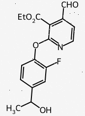 CCOC(=O)c1c(C=O)ccnc1Oc1ccc(C(C)O)cc1F